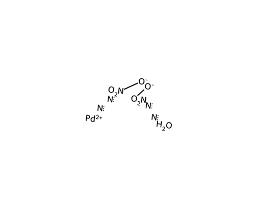 O.O=[N+]([O-])[O-].O=[N+]([O-])[O-].[N].[N].[N].[N].[Pd+2]